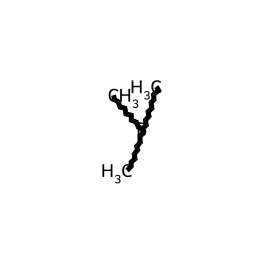 CCCCCCCCCCB(CCCCCCCCCC)CCCCCCCCCC